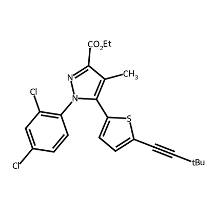 CCOC(=O)c1nn(-c2ccc(Cl)cc2Cl)c(-c2ccc(C#CC(C)(C)C)s2)c1C